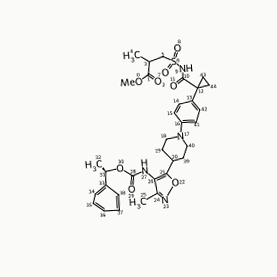 COC(=O)C(C)CS(=O)(=O)NC(=O)C1(c2ccc(N3CCC(c4onc(C)c4NC(=O)O[C@H](C)c4ccccc4)CC3)cc2)CC1